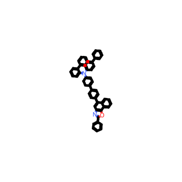 C1=C(c2ccc(-c3cc4nc(-c5ccccc5)oc4c4ccccc34)cc2)CCC(N(c2ccc(-c3ccccc3)cc2)c2ccccc2-c2ccccc2)=C1